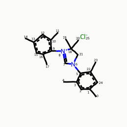 Cc1cc(C)c(N2C=[N+](c3c(C)cc(C)cc3C)C(C)(C)C2)c(C)c1.[Cl-]